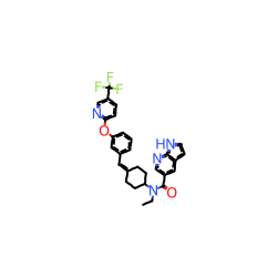 CCN(C(=O)c1cnc2[nH]ccc2c1)C1CCC(=Cc2cccc(Oc3ccc(C(F)(F)F)cn3)c2)CC1